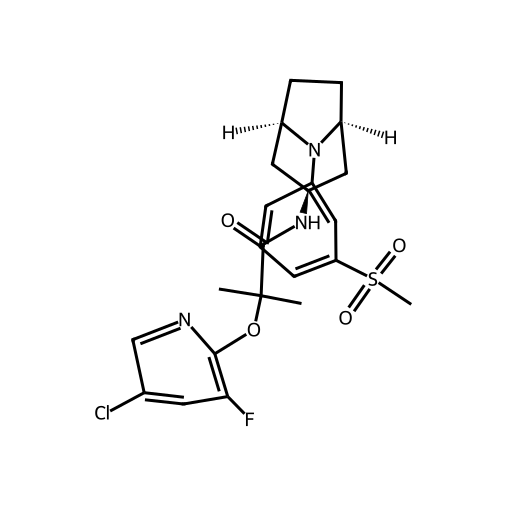 CC(C)(Oc1ncc(Cl)cc1F)C(=O)N[C@H]1C[C@H]2CC[C@@H](C1)N2c1cccc(S(C)(=O)=O)c1